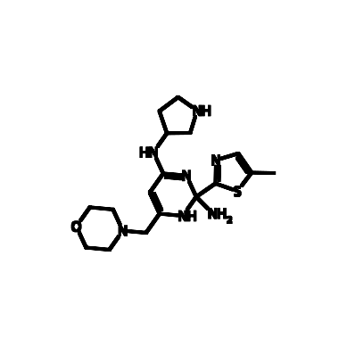 Cc1cnc(C2(N)N=C(NC3CCNC3)C=C(CN3CCOCC3)N2)s1